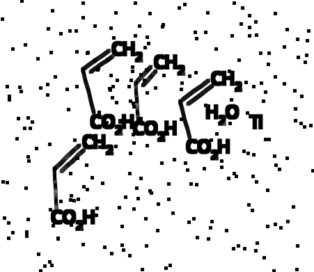 C=CC(=O)O.C=CC(=O)O.C=CC(=O)O.C=CC(=O)O.O.[Ti]